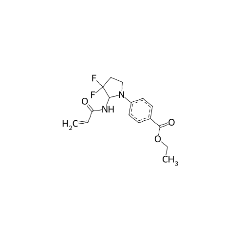 C=CC(=O)NC1N(c2ccc(C(=O)OCC)cc2)CCC1(F)F